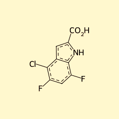 O=C(O)c1cc2c(Cl)c(F)cc(F)c2[nH]1